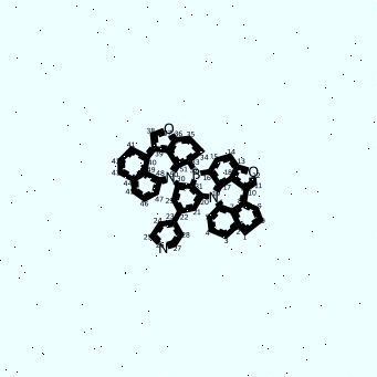 c1cc2cccc3c2c(c1)c1coc2ccc4c(c21)n3-c1cc(-c2ccncc2)cc2c1B4c1ccc3occ4c5cccc6cccc(c65)n-2c1c34